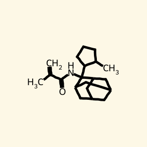 C=C(C)C(=O)NC1(C2CCCC2C)C2CC3CC(C2)CC1C3